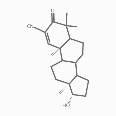 [C-]#[N+]C1=C[C@]2(C)C3CC[C@@]4(C)C(CC[C@@H]4O)C3CCC2C(C)(C)C1=O